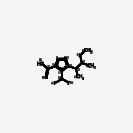 CSC(C)C(C)n1ncc(C(O)=S)c1C(F)F